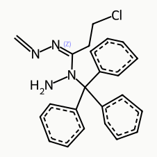 C=N/N=C(/CCCl)N(N)C(c1ccccc1)(c1ccccc1)c1ccccc1